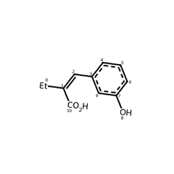 CC/C(=C/c1cccc(O)c1)C(=O)O